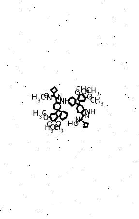 CON=C(c1n[nH]c2c1C=CC(c1ccccc1)(c1cc(OC)c(OC)c(OC)c1)C2)C1CCC1.COc1cc(C2(c3ccccc3)C=Cc3c(C(=NO)C4CCC4)n[nH]c3C2)cc(OC)c1OC